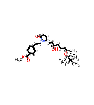 COC(=O)c1ccc(CCN2C(=O)CC[C@@H]2C=CC(O)CCC[C@H](C)O[Si](C)(C)C(C)(C)C)cc1